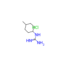 CC1CCC(NC(=N)N)CC1.Cl